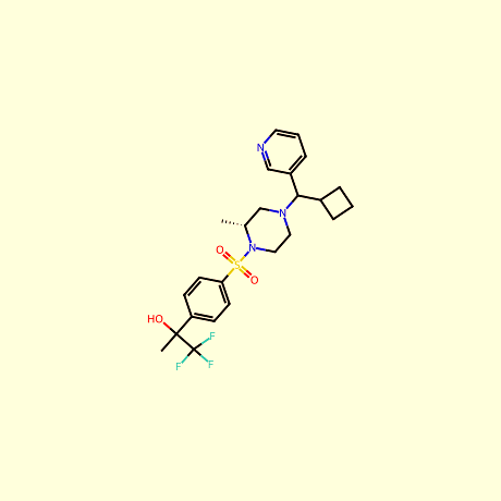 C[C@@H]1CN(C(c2cccnc2)C2CCC2)CCN1S(=O)(=O)c1ccc(C(C)(O)C(F)(F)F)cc1